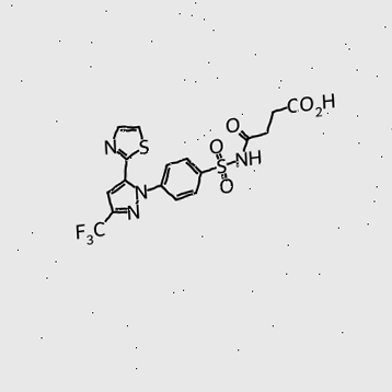 O=C(O)CCC(=O)NS(=O)(=O)c1ccc(-n2nc(C(F)(F)F)cc2-c2nccs2)cc1